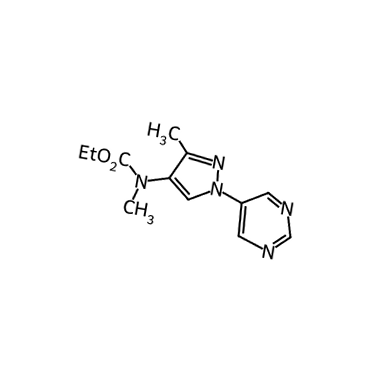 CCOC(=O)N(C)c1cn(-c2cncnc2)nc1C